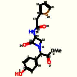 COC(=O)C(c1ccc(O)cc1)N1CC(NC(=O)Cc2cccs2)C1=O